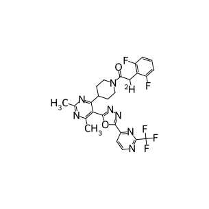 [2H]C(C(=O)N1CCC(c2nc(C)nc(C)c2-c2nnc(-c3ccnc(C(F)(F)F)n3)o2)CC1)c1c(F)cccc1F